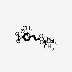 COc1nc(C=CC(=O)OC(C)(C)C)ccc1[N+](=O)[O-]